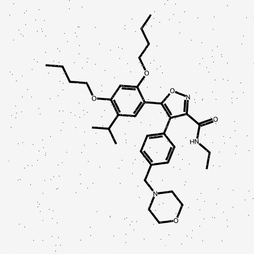 CCCCOc1cc(OCCCC)c(C(C)C)cc1-c1onc(C(=O)NCC)c1-c1ccc(CN2CCOCC2)cc1